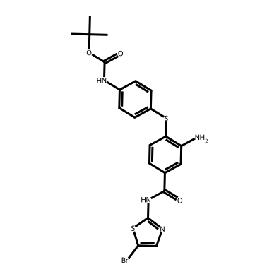 CC(C)(C)OC(=O)Nc1ccc(Sc2ccc(C(=O)Nc3ncc(Br)s3)cc2N)cc1